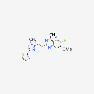 COc1cc2nc(CCc3nc(-c4nccs4)cn3C)nc(C)c2cc1F